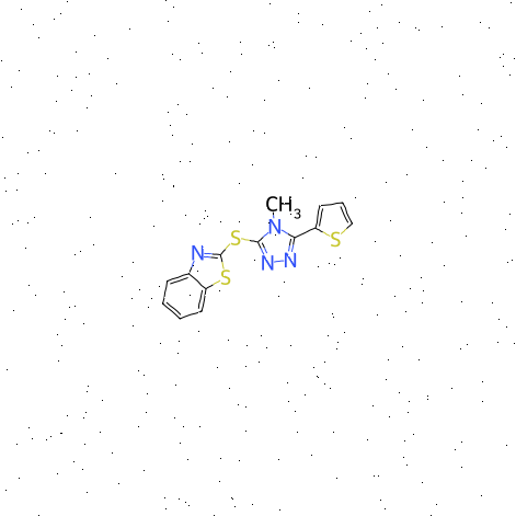 Cn1c(Sc2nc3ccccc3s2)nnc1-c1cccs1